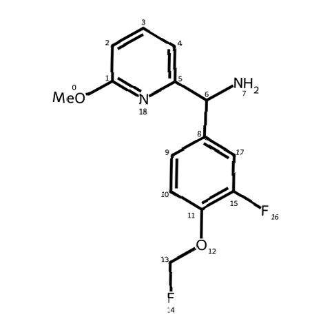 COc1cccc(C(N)c2ccc(OCF)c(F)c2)n1